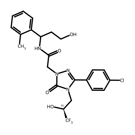 Cc1ccccc1C(CCO)NC(=O)Cn1nc(-c2ccc(Cl)cc2)n(C[C@H](O)C(F)(F)F)c1=O